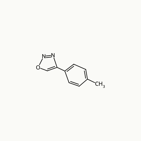 Cc1ccc(-c2conn2)cc1